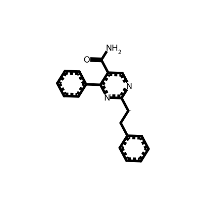 NC(=O)c1cnc([CH]Cc2ccccc2)nc1-c1ccccc1